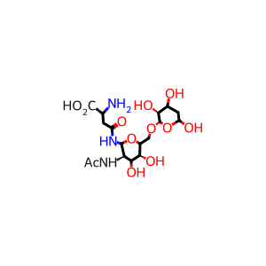 CC(=O)N[C@H]1C(NC(=O)CC(N)C(=O)O)OC(CO[C@@H]2OC(O)CC(O)[C@@H]2O)[C@@H](O)C1O